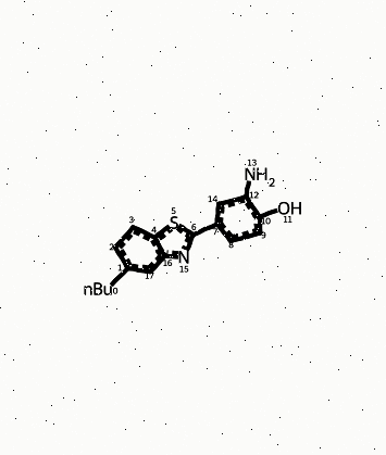 CCCCc1ccc2sc(-c3ccc(O)c(N)c3)nc2c1